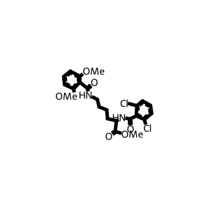 COC(=O)C(CCCCNC(=O)c1c(OC)cccc1OC)NC(=O)c1c(Cl)cccc1Cl